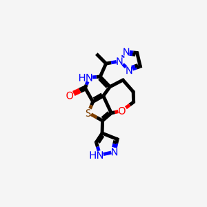 CC(c1[nH]c(=O)c2sc(-c3cn[nH]c3)c3c2c1CCCO3)n1nccn1